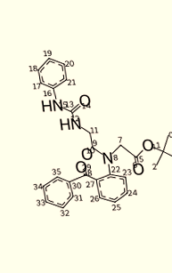 CC(C)(C)OC(=O)CN(C(=O)CNC(=O)Nc1ccccc1)c1ccccc1C(=O)c1ccccc1